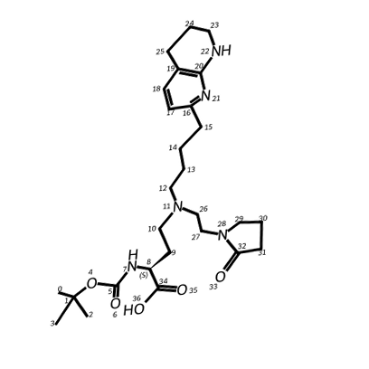 CC(C)(C)OC(=O)N[C@@H](CCN(CCCCc1ccc2c(n1)NCCC2)CCN1CCCC1=O)C(=O)O